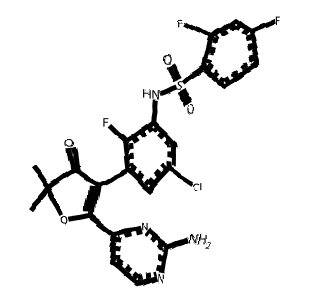 CC1(C)OC(c2ccnc(N)n2)=C(c2cc(Cl)cc(NS(=O)(=O)c3ccc(F)cc3F)c2F)C1=O